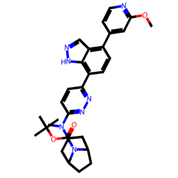 COc1cc(-c2ccc(-c3ccc(N(C)C4CC5CCC(C4)N5C(=O)OC(C)(C)C)nn3)c3[nH]ncc23)ccn1